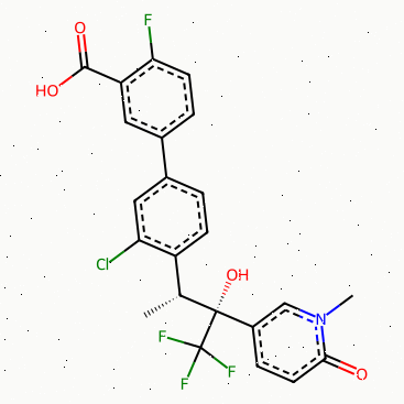 C[C@H](c1ccc(-c2ccc(F)c(C(=O)O)c2)cc1Cl)[C@@](O)(c1ccc(=O)n(C)c1)C(F)(F)F